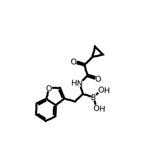 O=C(NC(Cc1coc2ccccc12)B(O)O)C(=O)C1CC1